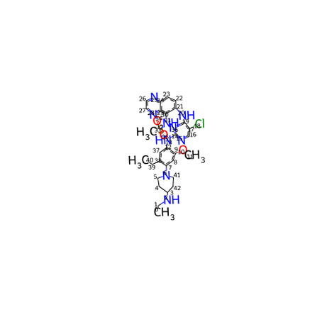 CCNC1CCN(c2cc(OC)c(Nc3ncc(Cl)c(Nc4ccc5nccnc5c4NS(C)(=O)=O)n3)cc2CC)CC1